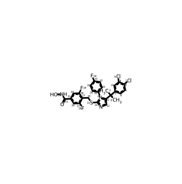 CC(C)(c1ccc(Cl)c(Cl)c1)c1cnc(SCc2c(F)cc(C(=O)NO)cc2F)n1-c1ccc(F)cc1